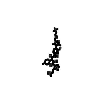 Cc1nn(COCC[Si](C)(C)C)c(C)c1-c1ccc(NC(=O)[C@@H](NC(=O)c2ccnn2CC[S+](C)[O-])C2CCC(C)CC2)nc1F